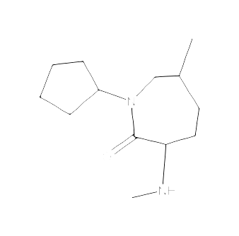 CNC1CCC(C)CN(C2CCCC2)C1=O